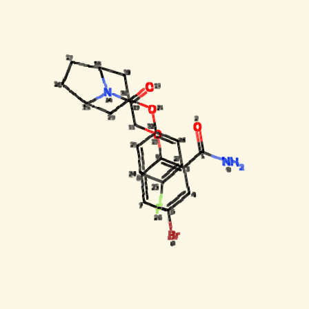 NC(=O)c1cc(Br)ccc1OCC(=O)N1C2CCC1CC(Oc1ccc(F)cc1)C2